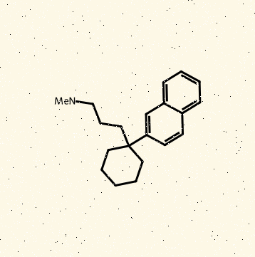 CNCCCC1(c2ccc3ccccc3c2)CCCCC1